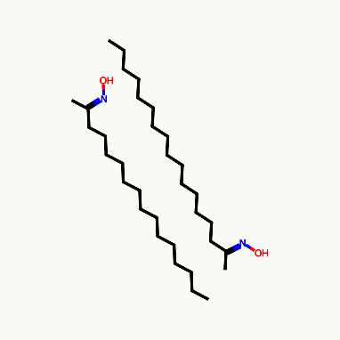 CCCCCCCCCCCCCCC(C)=NO.CCCCCCCCCCCCCCCC(C)=NO